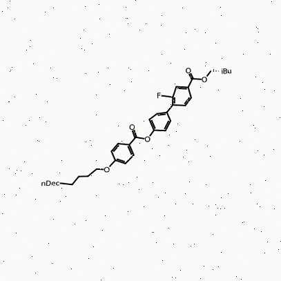 CCCCCCCCCCCCCCOc1ccc(C(=O)Oc2ccc(-c3ccc(C(=O)OC[C@@H](C)CC)cc3F)cc2)cc1